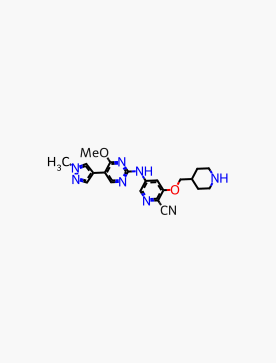 COc1nc(Nc2cnc(C#N)c(OCC3CCNCC3)c2)ncc1-c1cnn(C)c1